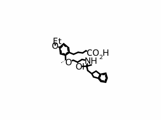 CCOc1ccc(CCCCC(=O)O)c([C@@H](C)OC[C@H](O)CNC(C)(C)CC2Cc3ccccc3C2)c1